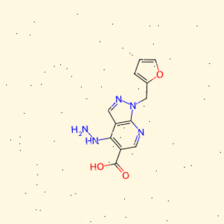 NNc1c(C(=O)O)cnc2c1cnn2Cc1ccco1